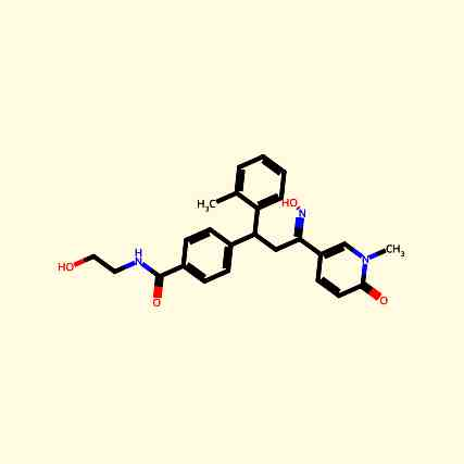 Cc1ccccc1C(C/C(=N\O)c1ccc(=O)n(C)c1)c1ccc(C(=O)NCCO)cc1